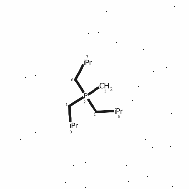 CC(C)C[P](C)(CC(C)C)CC(C)C